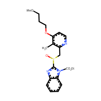 CCOC(=O)n1c([S+]([O-])Cc2nccc(OCCCOC)c2C)nc2ccccc21